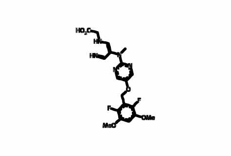 COc1cc(OC)c(F)c(COc2cnc(N(C)/C(C=N)=C/NCC(=O)O)nc2)c1F